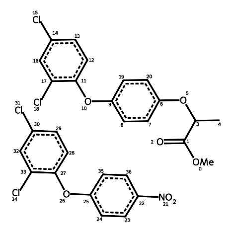 COC(=O)C(C)Oc1ccc(Oc2ccc(Cl)cc2Cl)cc1.O=[N+]([O-])c1ccc(Oc2ccc(Cl)cc2Cl)cc1